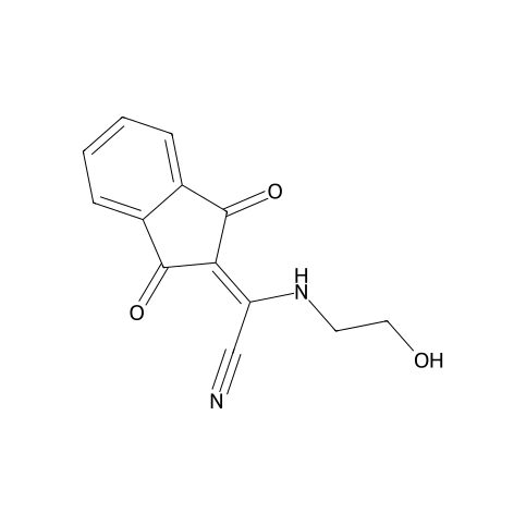 N#CC(NCCO)=C1C(=O)c2ccccc2C1=O